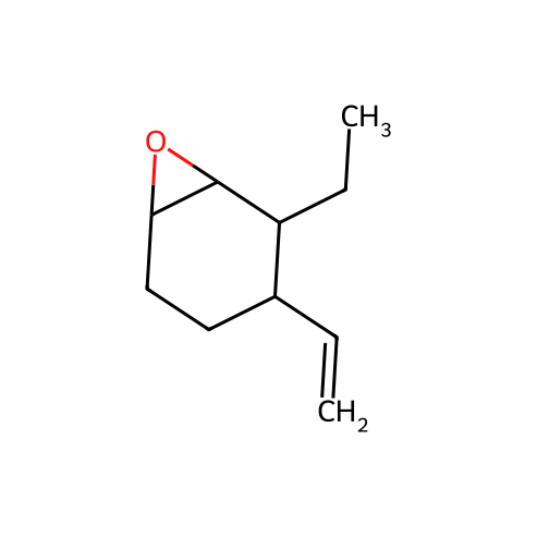 C=CC1CCC2OC2C1CC